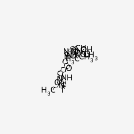 CCCC(=O)N1[C@@H](I)CC[C@H]1c1nc2ccc3cc4c(cc3c2[nH]1)OCc1cc(-c2cnc([C@@H]3CC[C@H](C)N3C(O)[C@@H](NC(O)OC)C(C)C)[nH]2)ccc1-4